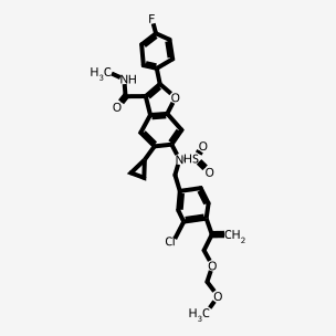 C=C(COCOC)c1ccc(CN(c2cc3oc(-c4ccc(F)cc4)c(C(=O)NC)c3cc2C2CC2)[SH](=O)=O)cc1Cl